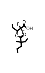 CCCC(C)(CC)C(=O)OC(CC)C(F)(F)C(=O)O